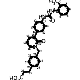 Cc1ccccc1NC(=O)Nc1ccc(-c2cccn(Cc3ccc(CCC(=O)O)cc3)c2=O)cc1